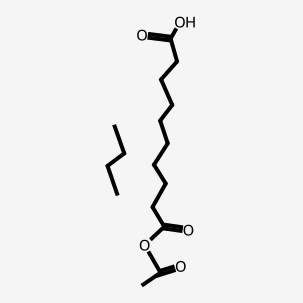 CC(=O)OC(=O)CCCCCCCCC(=O)O.CCCC